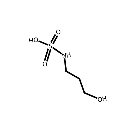 O=S(=O)(O)NCCCO